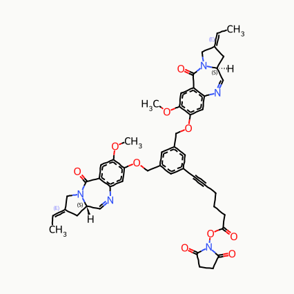 C/C=C1\C[C@H]2C=Nc3cc(OCc4cc(C#CCCCC(=O)ON5C(=O)CCC5=O)cc(COc5cc6c(cc5OC)C(=O)N5C/C(=C/C)C[C@H]5C=N6)c4)c(OC)cc3C(=O)N2C1